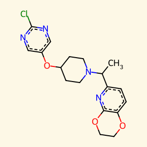 CC(c1ccc2c(n1)OCCO2)N1CCC(Oc2cnc(Cl)nc2)CC1